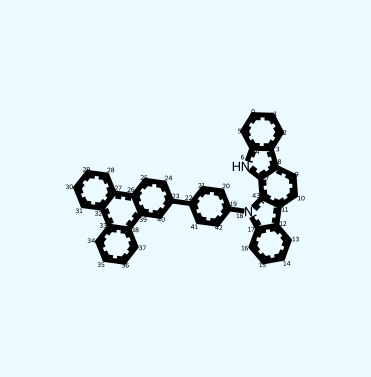 c1ccc2c(c1)[nH]c1c2ccc2c3ccccc3n(-c3ccc(-c4ccc5c6ccccc6c6ccccc6c5c4)cc3)c21